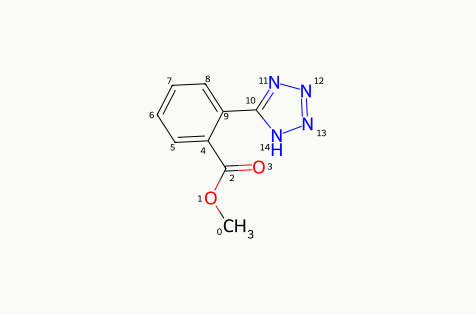 COC(=O)c1ccccc1-c1nnn[nH]1